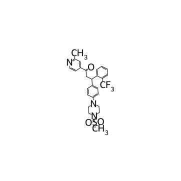 Cc1cc(C(=O)CC(c2ccc(N3CCN(S(C)(=O)=O)CC3)cc2)c2ccccc2C(F)(F)F)ccn1